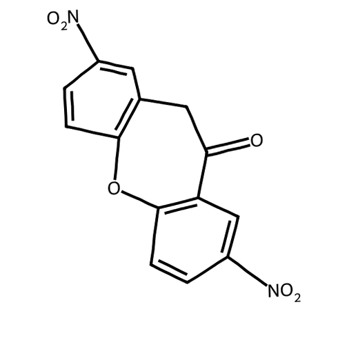 O=C1Cc2cc([N+](=O)[O-])ccc2Oc2ccc([N+](=O)[O-])cc21